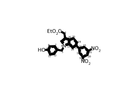 CCOC(=O)Cc1cn(Cc2ccc(O)cc2)c2cc(-c3cc([N+](=O)[O-])cc([N+](=O)[O-])c3)ccc12